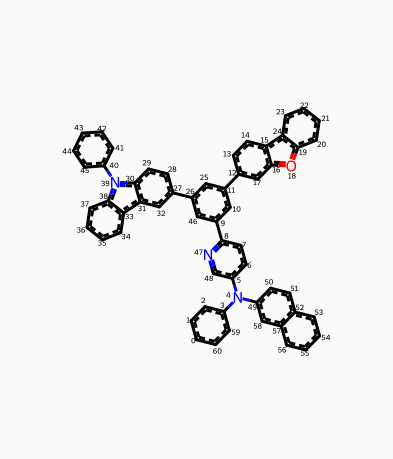 c1ccc(N(c2ccc(-c3cc(-c4ccc5c(c4)oc4ccccc45)cc(-c4ccc5c(c4)c4ccccc4n5-c4ccccc4)c3)nc2)c2ccc3ccccc3c2)cc1